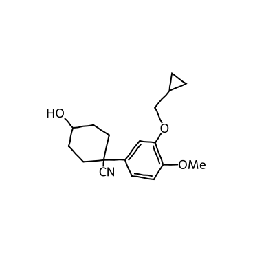 COc1ccc(C2(C#N)CCC(O)CC2)cc1OCC1CC1